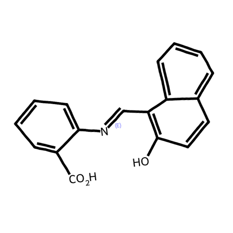 O=C(O)c1ccccc1/N=C/c1c(O)ccc2ccccc12